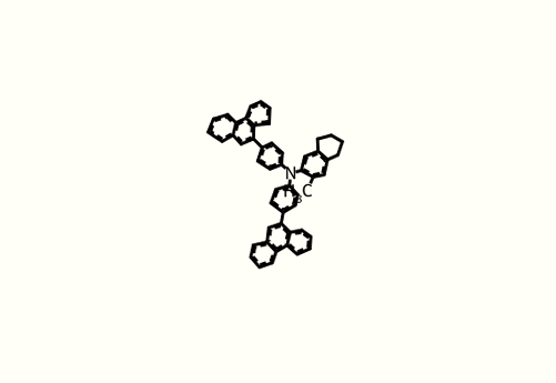 Cc1cc2c(cc1N(c1ccc(-c3cc4ccccc4c4ccccc34)cc1)c1ccc(-c3cc4ccccc4c4ccccc34)cc1)CCCC2